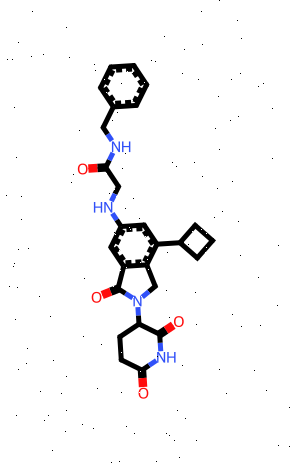 O=C(CNc1cc2c(c(C3CCC3)c1)CN(C1CCC(=O)NC1=O)C2=O)NCc1ccccc1